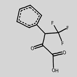 O=C(O)C(=O)C(c1ccccc1)C(F)(F)F